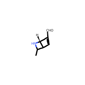 CC1N[C@@H]2C(C=O)=CC12